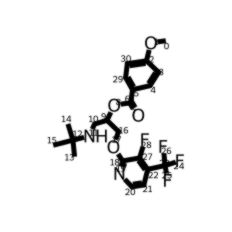 COc1ccc(C(=O)OC(CNC(C)(C)C)COc2nccc(C(F)(F)F)c2F)cc1